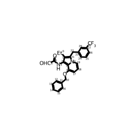 CCc1c(NC(=O)C=O)c2c(OCc3ccccc3)cccn2c1Cc1cccc(C(F)(F)F)c1